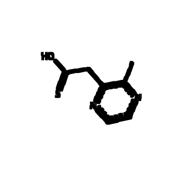 Cc1nccnc1CC(O)=S